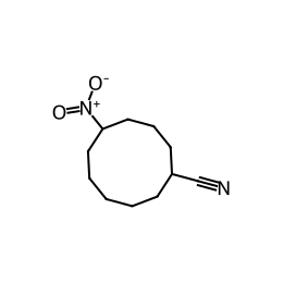 N#CC1CCCCCC([N+](=O)[O-])CCC1